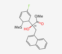 COC(=O)[C@](O)(Cc1cccc2ccccc12)C1C=C(F)C=CC1SC